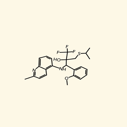 COc1ccccc1C(Nc1cccc2nc(C)ccc12)C(O)(CSC(C)C)C(F)(F)F